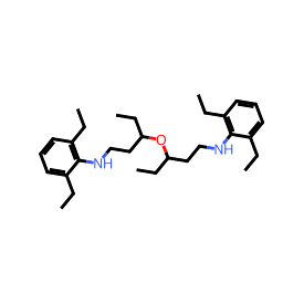 CCc1cccc(CC)c1NCCC(CC)OC(CC)CCNc1c(CC)cccc1CC